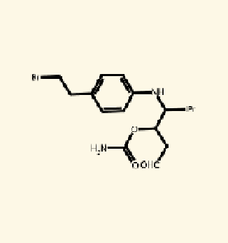 CC(C)C(Nc1ccc(CCBr)cc1)C(CC=O)OC(N)=O